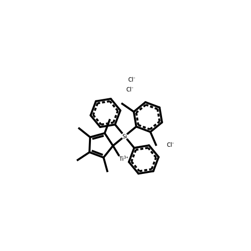 CC1=C(C)[C]([Ti+3])([Si](c2ccccc2)(c2ccccc2)c2c(C)cccc2C)C(C)=C1C.[Cl-].[Cl-].[Cl-]